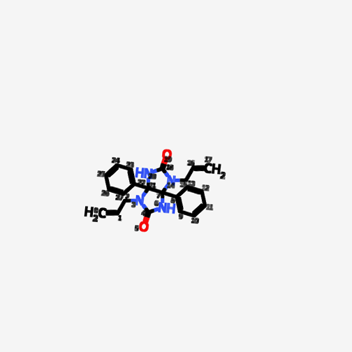 C=CCN1C(=O)NC2(c3ccccc3)N(CC=C)C(=O)NC12c1ccccc1